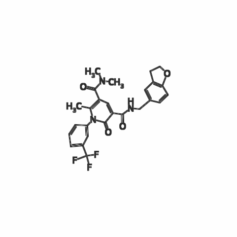 Cc1c(C(=O)N(C)C)cc(C(=O)NCc2ccc3c(c2)CCO3)c(=O)n1-c1cccc(C(F)(F)F)c1